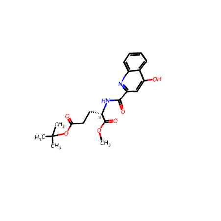 COC(=O)[C@H](CCC(=O)OC(C)(C)C)NC(=O)c1cc(O)c2ccccc2n1